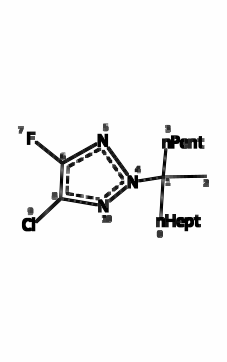 CCCCCCCC(C)(CCCCC)n1nc(F)c(Cl)n1